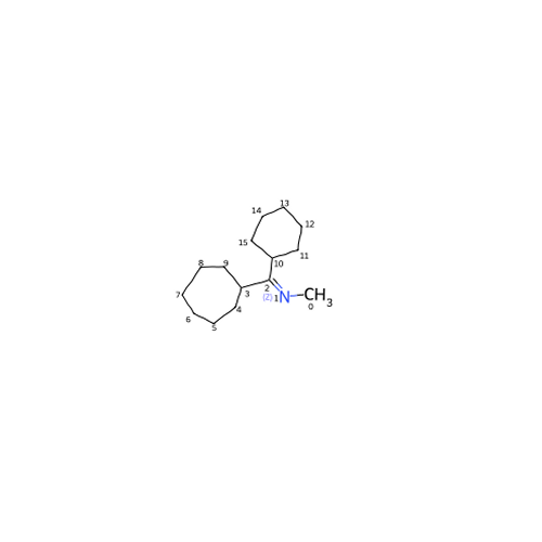 C/N=C(/C1CCCCCC1)C1CCCCC1